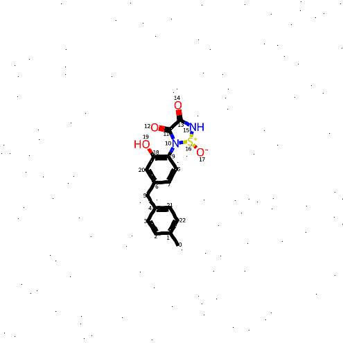 Cc1ccc(Cc2ccc(-n3c(=O)c(=O)[nH][s+]3[O-])c(O)c2)cc1